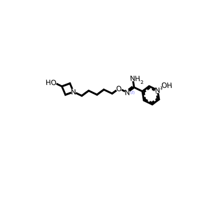 N/C(=N\OCCCCCN1CC(O)C1)c1ccc[n+](O)c1